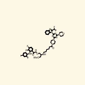 COCC(CONC(=O)c1ccc(F)c(F)c1Nc1ccc(I)cc1F)NCCCCCC(=O)N1CCN(c2nc(N3CCOCC3)nc(-n3c(C(F)F)nc4ccccc43)n2)CC1